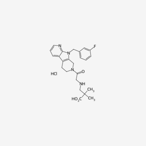 CC(C)(CNCC(=O)N1CCc2c(n(Cc3cccc(F)c3)c3ncccc23)C1)C(=O)O.Cl